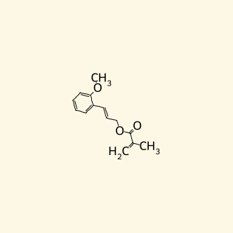 C=C(C)C(=O)OCC=Cc1ccccc1OC